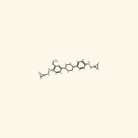 CCc1cc(C2CCC(c3ccc(OCC4CO4)cc3)CC2)ccc1OCC1CO1